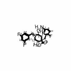 C[C@@H]1C[C@](Cc2nc(N)ccc2F)(C(=O)O)CCN1Cc1cc(F)cc(F)c1